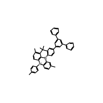 Cc1ccc(N2c3ccc(C)cc3B3c4ccc(-c5cc(-c6ccccc6)cc(-c6ccccc6)c5)cc4C(C)(C)c4c(C)ccc2c43)cc1